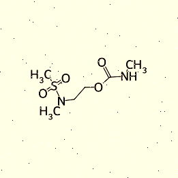 CNC(=O)OCCN(C)S(C)(=O)=O